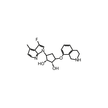 Cc1ccnc2c1c(F)cn2C1CC(Oc2cccc3c2CNCC3)[C@@H](O)[C@H]1O